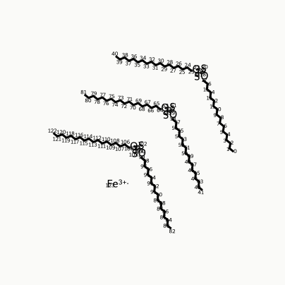 CCCCCCCCCCCCCCCCCCOP(=S)([S-])OCCCCCCCCCCCCCCCCCC.CCCCCCCCCCCCCCCCCCOP(=S)([S-])OCCCCCCCCCCCCCCCCCC.CCCCCCCCCCCCCCCCCCOP(=S)([S-])OCCCCCCCCCCCCCCCCCC.[Fe+3]